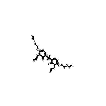 C=CCC1C(=O)C(C(C)(C)C2=CC=C(OCCOC=C)C(CC=C)C2=O)=CC=C1OCCOC=C